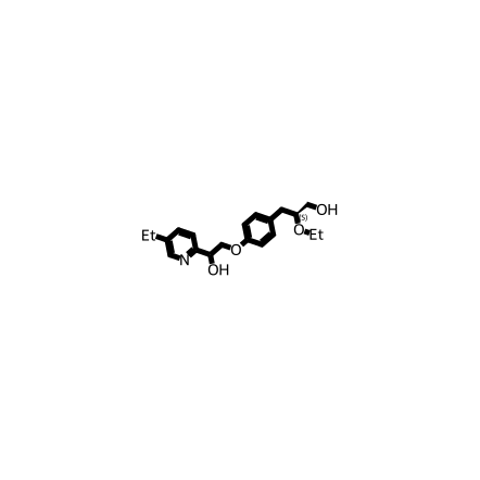 CCO[C@H](CO)Cc1ccc(OCC(O)c2ccc(CC)cn2)cc1